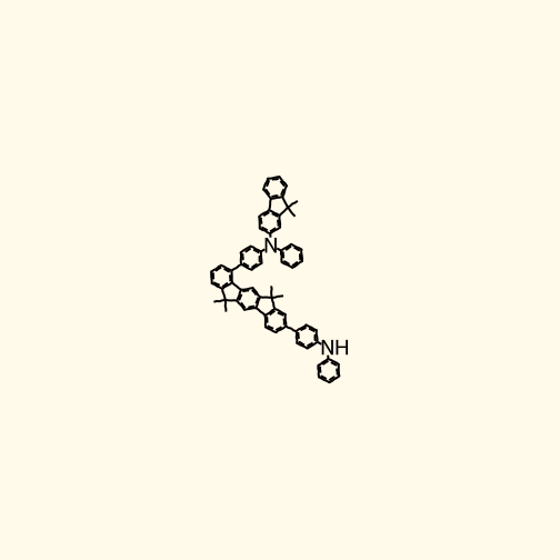 CC1(C)c2ccccc2-c2ccc(N(c3ccccc3)c3ccc(-c4cccc5c4-c4cc6c(cc4C5(C)C)-c4ccc(-c5ccc(Nc7ccccc7)cc5)cc4C6(C)C)cc3)cc21